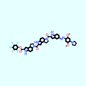 COc1cc(N2CCCC2)c(OC)cc1/N=N/c1ccc2[nH]c(C(=O)N3CCc4c3ccc3[nH]c(C(=O)N5CCc6c5ccc5[nH]c(C(=O)Oc7c(F)c(F)c(F)c(F)c7F)cc65)cc43)cc2c1